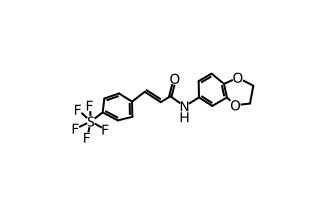 O=C(C=Cc1ccc(S(F)(F)(F)(F)F)cc1)Nc1ccc2c(c1)OCCO2